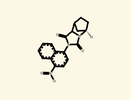 O=C1C2C3CC[C@H](C3)N2C(=O)N1c1ccc([N+](=O)[O-])c2ccccc12